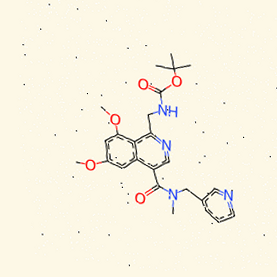 COc1cc(OC)c2c(CNC(=O)OC(C)(C)C)ncc(C(=O)N(C)Cc3cccnc3)c2c1